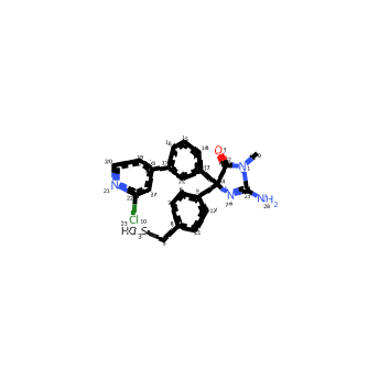 CN1C(=O)C(c2ccc(CS(=O)(=O)O)cc2)(c2cccc(-c3ccnc(Cl)c3)c2)N=C1N